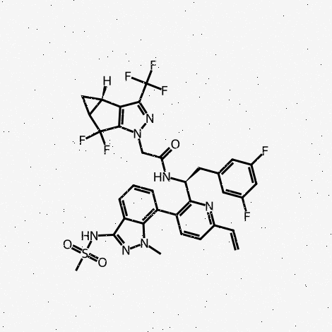 C=Cc1ccc(-c2cccc3c(NS(C)(=O)=O)nn(C)c23)c([C@H](Cc2cc(F)cc(F)c2)NC(=O)Cn2nc(C(F)(F)F)c3c2C(F)(F)C2C[C@H]32)n1